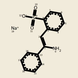 NC(=Cc1ccccc1S(=O)(=O)[O-])c1ccccc1.[Na+]